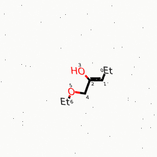 CCC=C(O)COCC